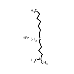 Br.CCCCCCCCCCCCN(C)C.S